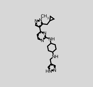 Cn1ncc(-c2ccnc(NC3CCC(NCc4cn[nH]c4)CC3)n2)c1CC1CC1